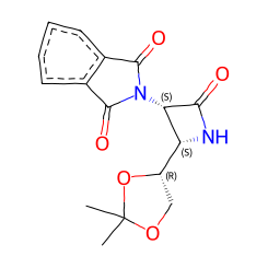 CC1(C)OC[C@@H]([C@H]2NC(=O)[C@H]2N2C(=O)c3ccccc3C2=O)O1